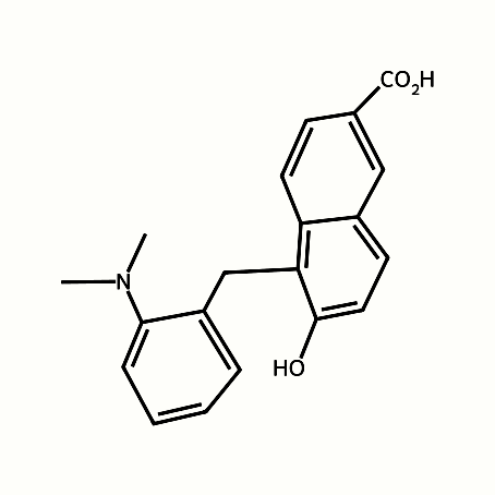 CN(C)c1ccccc1Cc1c(O)ccc2cc(C(=O)O)ccc12